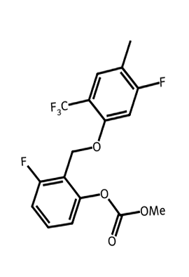 COC(=O)Oc1cccc(F)c1COc1cc(F)c(C)cc1C(F)(F)F